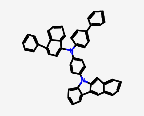 c1ccc(-c2ccc(N(c3ccc(-n4c5ccccc5c5cc6ccccc6cc54)cc3)c3ccc(-c4ccccc4)c4ccccc34)cc2)cc1